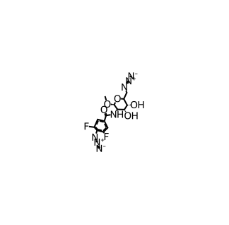 CO[C@H]1OC(CN=[N+]=[N-])[C@H](O)[C@H](O)C1NC(=O)c1cc(F)c(N=[N+]=[N-])c(F)c1